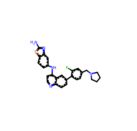 Nc1nc2cc(Nc3ccnc4ccc(-c5ccc(CN6CCCC6)cc5F)cc34)ccc2s1